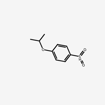 CC(C)Oc1ccc([SH](=O)=O)cc1